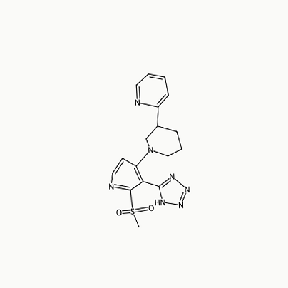 CS(=O)(=O)c1nccc(N2CCCC(c3ccccn3)C2)c1-c1nnn[nH]1